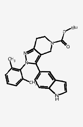 Cc1cccc(C)c1-n1nc2c(c1-c1ccc3[nH]ccc3c1)CN(C(=O)OC(C)(C)C)CC2